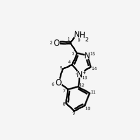 NC(=O)C1=C2COc3ccccc3[N+]2C=N1